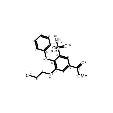 COC(=O)c1cc(NCCCl)c(Sc2ccccc2)c(S(N)(=O)=O)c1